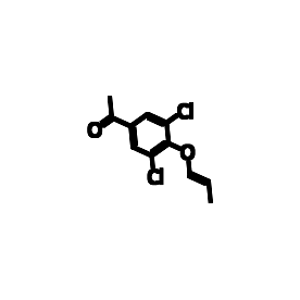 CC=COc1c(Cl)cc(C(C)=O)cc1Cl